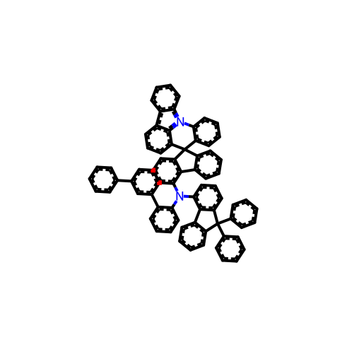 c1ccc(-c2cccc(-c3ccccc3N(c3cccc4c3-c3ccccc3C4(c3ccccc3)c3ccccc3)c3cccc4c3-c3ccccc3C43c4ccccc4-n4c5ccccc5c5cccc3c54)c2)cc1